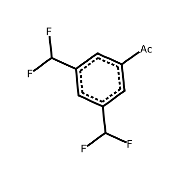 CC(=O)c1cc(C(F)F)cc(C(F)F)c1